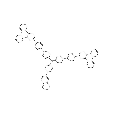 c1ccc2cc(-c3ccc(N(c4ccc(-c5ccc(-c6ccc7c8ccccc8c8ccccc8c7c6)cc5)cc4)c4ccc(-c5ccc(-c6ccc7c8ccccc8c8ccccc8c7c6)cc5)cc4)cc3)ccc2c1